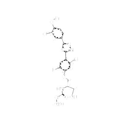 CC(C)Oc1ccc(-c2nnc(-c3cc(F)c(OC[C@@H](CO)NC(=O)OC(C)(C)C)cc3Cl)s2)cc1Cl